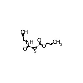 C#CCNC(=O)[C@@H]1S[C@H]1C(=O)OCC=C